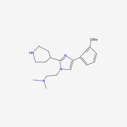 COc1cccc(-c2cn(CCN(C)C)c(C3CCNCC3)n2)c1